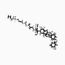 CCCCCCCCCCCCNC(=O)c1ccc(CN(O)Cc2ccc(Oc3ccccc3)cc2)c(Br)c1